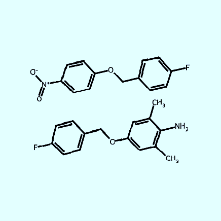 Cc1cc(OCc2ccc(F)cc2)cc(C)c1N.O=[N+]([O-])c1ccc(OCc2ccc(F)cc2)cc1